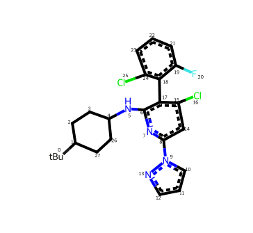 CC(C)(C)C1CCC(Nc2nc(-n3cccn3)cc(Cl)c2-c2c(F)cccc2Cl)CC1